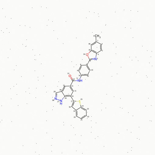 Cc1ccc2nc(-c3ccc(NC(=O)c4cc(-c5cc6ccccc6s5)c5[nH]ncc5c4)cc3)oc2c1